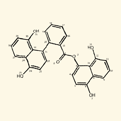 O=C(Oc1ccc(O)c2cccc(O)c12)c1ccccc1-c1ccc(O)c2cccc(O)c12